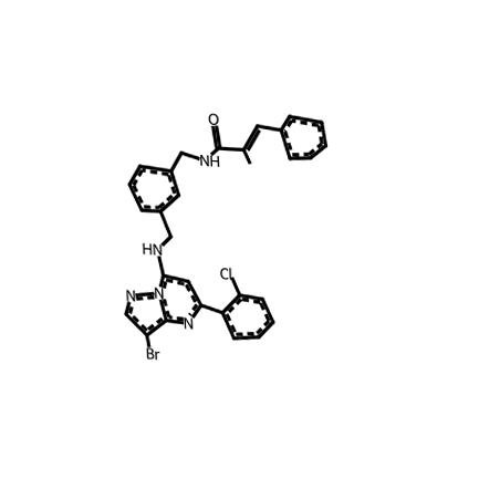 C/C(=C\c1ccccc1)C(=O)NCc1cccc(CNc2cc(-c3ccccc3Cl)nc3c(Br)cnn23)c1